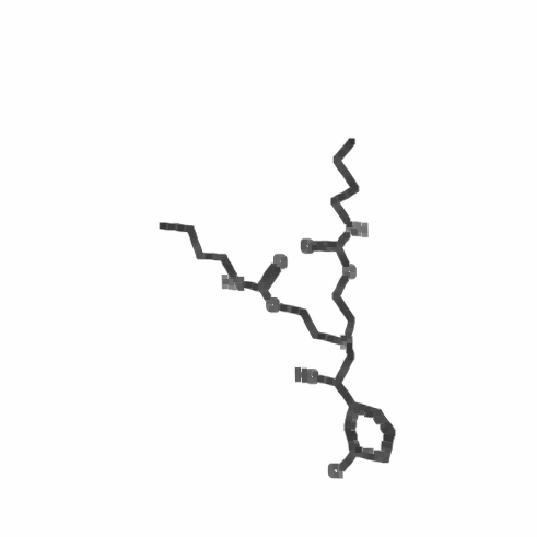 CCCCNC(=O)OCCN(CCOC(=O)NCCCC)CC(O)c1cccc(Cl)c1